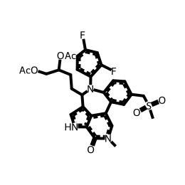 CC(=O)OCC(CCC1c2c[nH]c3c(=O)n(C)cc(c23)-c2cc(CS(C)(=O)=O)ccc2N1c1ccc(F)cc1F)OC(C)=O